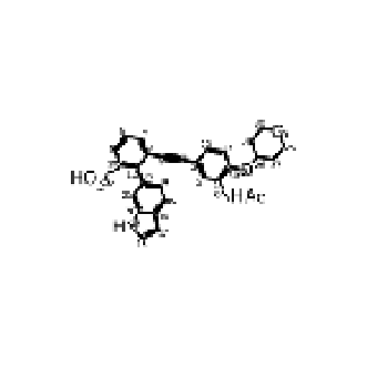 CC(=O)Nc1cc(C#Cc2cccc(C(=O)O)c2-c2ccc3cc[nH]c3c2)ccc1OC1CCOCC1